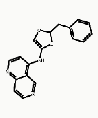 C1=C(Nc2ccnc3ccncc23)OC(Cc2ccccc2)O1